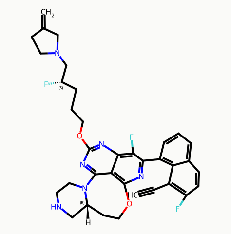 C#Cc1c(F)ccc2cccc(-c3nc4c5c(nc(OCCC[C@H](F)CN6CCC(=C)C6)nc5c3F)N3CCNC[C@H]3CCO4)c12